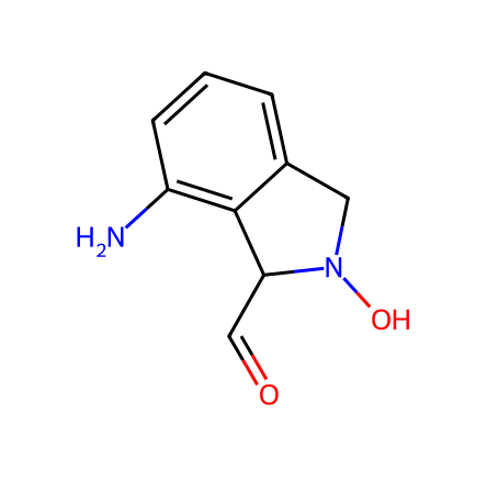 Nc1cccc2c1C(C=O)N(O)C2